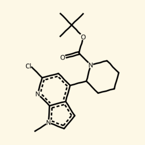 Cn1ccc2c(C3CCCCN3C(=O)OC(C)(C)C)cc(Cl)nc21